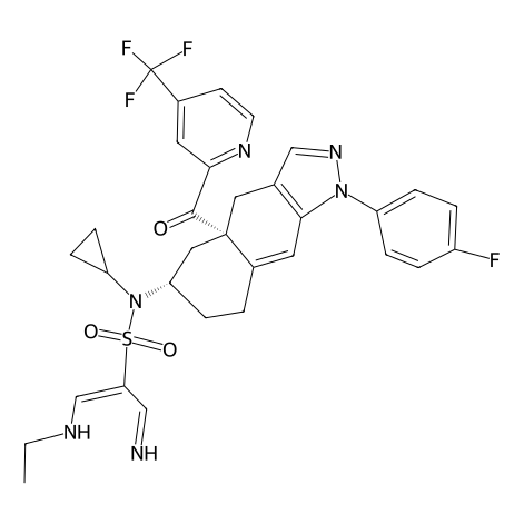 CCN/C=C(\C=N)S(=O)(=O)N(C1CC1)[C@H]1CCC2=Cc3c(cnn3-c3ccc(F)cc3)C[C@]2(C(=O)c2cc(C(F)(F)F)ccn2)C1